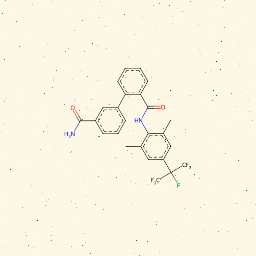 Cc1cc(C(F)(C(F)(F)F)C(F)(F)F)cc(C)c1NC(=O)c1ccccc1-c1cccc(C(N)=O)c1